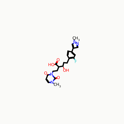 Cn1cc(-c2ccc(CC[C@@H](O)C(CCn3c(=O)ccn(C)c3=O)C(=O)O)c(F)c2)cn1